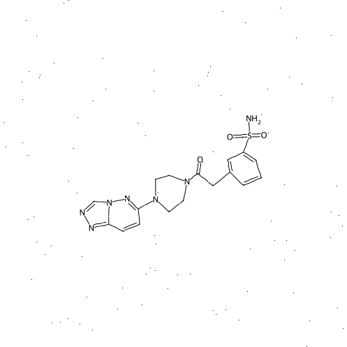 NS(=O)(=O)c1cccc(CC(=O)N2CCN(c3ccc4nncn4n3)CC2)c1